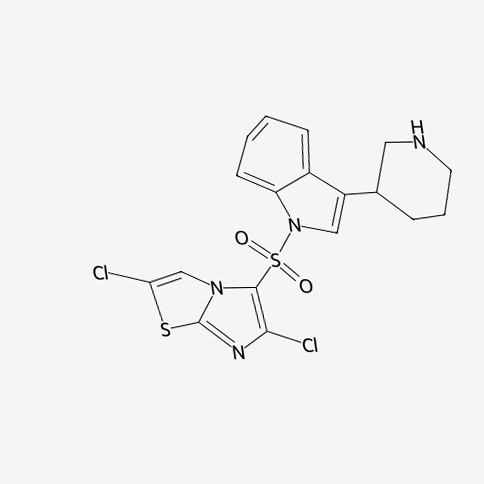 O=S(=O)(c1c(Cl)nc2sc(Cl)cn12)n1cc(C2CCCNC2)c2ccccc21